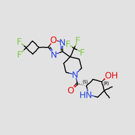 CC1(C)CN[C@H](C(=O)N2CCC(c3noc(C4CC(F)(F)C4)n3)(C(F)(F)F)CC2)C[C@H]1O